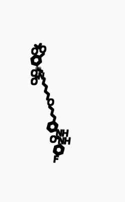 CC1(C)OCc2cc([C@@H]3CN(CCCCCCOCCCCc4cccc(NC(=O)Nc5ccc(F)cc5)c4)C(=O)O3)ccc2O1